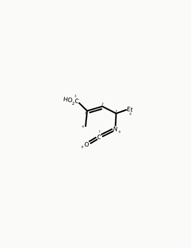 CCC(C=C(C)C(=O)O)N=C=O